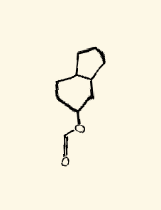 O=COC1CCC2CCCC2C1